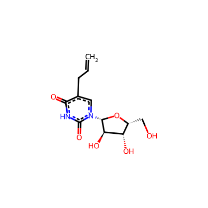 C=CCc1cn([C@@H]2O[C@H](CO)[C@H](O)[C@H]2O)c(=O)[nH]c1=O